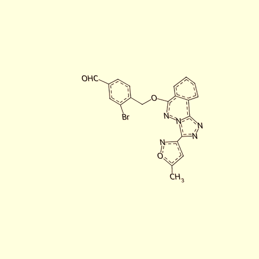 Cc1cc(-c2nnc3c4ccccc4c(OCc4ccc(C=O)cc4Br)nn23)no1